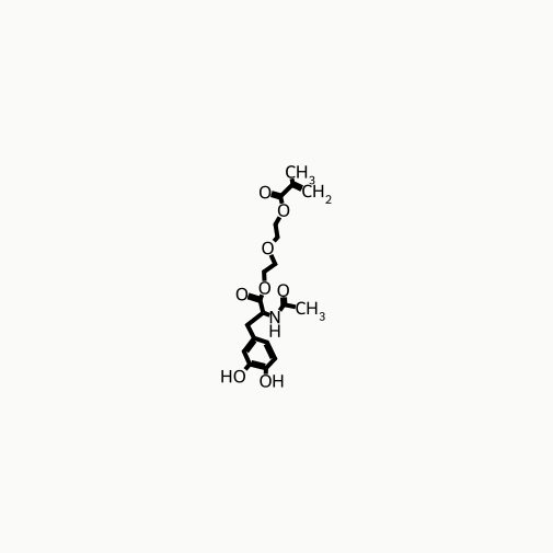 C=C(C)C(=O)OCCOCCOC(=O)C(Cc1ccc(O)c(O)c1)NC(C)=O